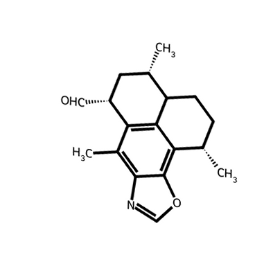 Cc1c2c3c(c4ocnc14)[C@@H](C)CCC3[C@@H](C)C[C@H]2C=O